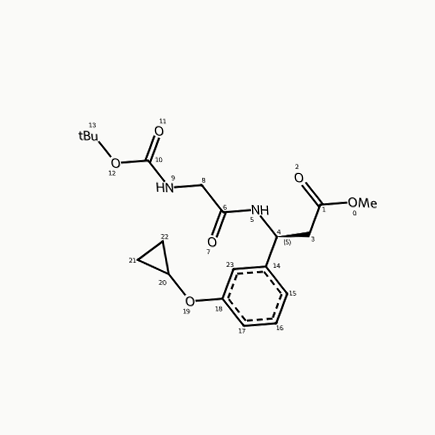 COC(=O)C[C@H](NC(=O)CNC(=O)OC(C)(C)C)c1cccc(OC2CC2)c1